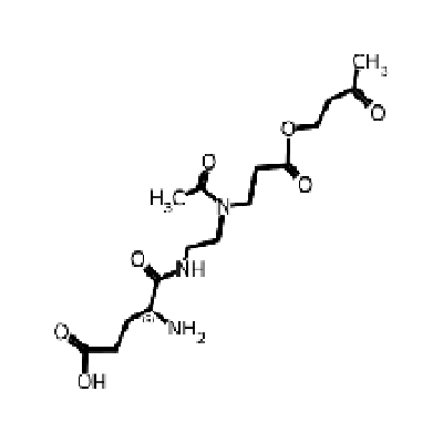 CC(=O)CCOC(=O)CCN(CCNC(=O)[C@@H](N)CCC(=O)O)C(C)=O